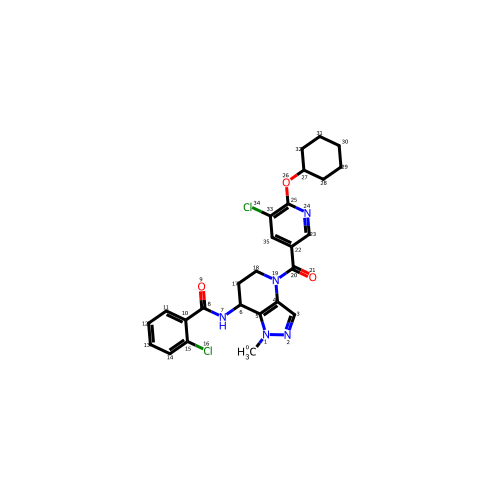 Cn1ncc2c1C(NC(=O)c1ccccc1Cl)CCN2C(=O)c1cnc(OC2CCCCC2)c(Cl)c1